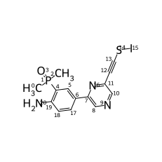 CP(C)(=O)c1cc(-c2cncc(C#CSI)n2)ccc1N